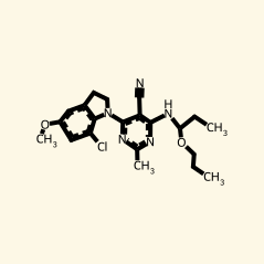 CCCOC(CC)Nc1nc(C)nc(N2CCc3cc(OC)cc(Cl)c32)c1C#N